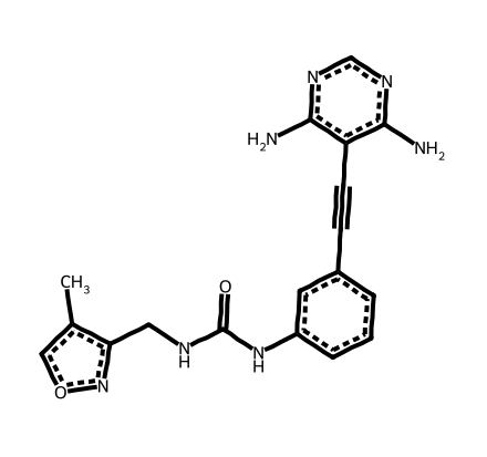 Cc1conc1CNC(=O)Nc1cccc(C#Cc2c(N)ncnc2N)c1